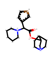 O=C(OC1CN2CCC1CC2)C(c1ccsc1)N1CCCCC1